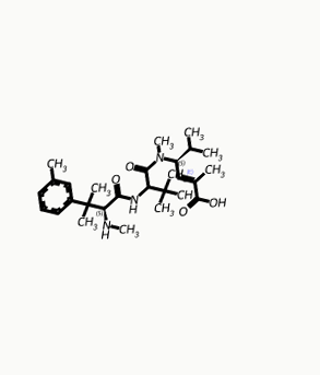 CN[C@H](C(=O)NC(C(=O)N(C)[C@H](/C=C(\C)C(=O)O)C(C)C)C(C)(C)C)C(C)(C)c1cccc(C)c1